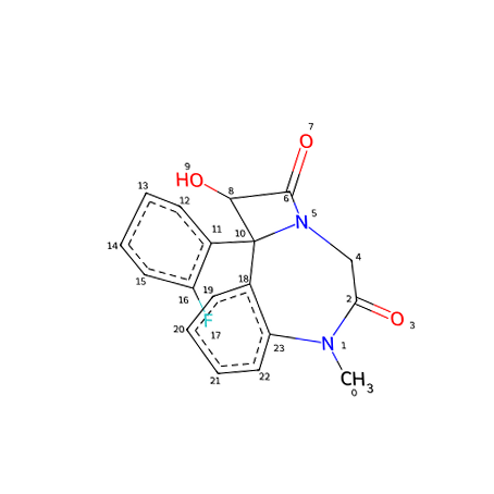 CN1C(=O)CN2C(=O)C(O)C2(c2ccccc2F)c2ccccc21